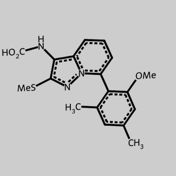 COc1cc(C)cc(C)c1-c1cccc2c(NC(=O)O)c(SC)nn12